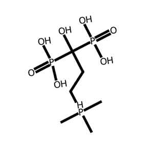 C[PH](C)(C)CCC(O)(P(=O)(O)O)P(=O)(O)O